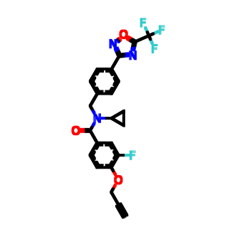 C#CCOc1ccc(C(=O)N(Cc2ccc(-c3noc(C(F)(F)F)n3)cc2)C2CC2)cc1F